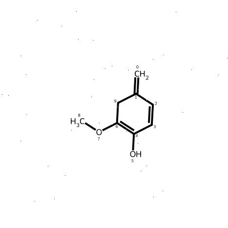 C=C1C=CC(O)=C(OC)C1